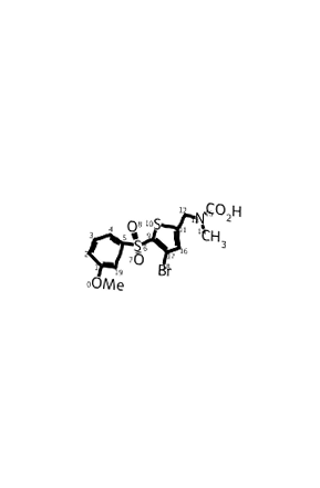 COc1cccc(S(=O)(=O)c2sc(CN(C)C(=O)O)cc2Br)c1